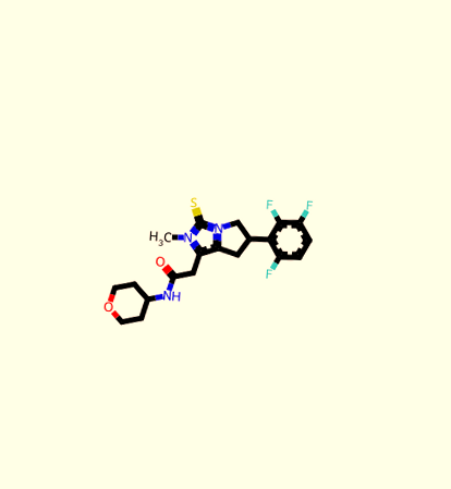 Cn1c(CC(=O)NC2CCOCC2)c2n(c1=S)CC(c1c(F)ccc(F)c1F)C2